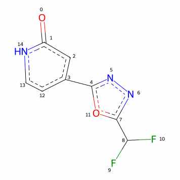 O=c1cc(-c2nnc(C(F)F)o2)cc[nH]1